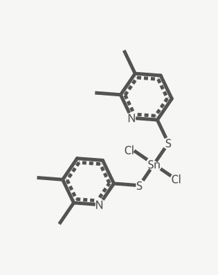 Cc1ccc([S][Sn]([Cl])([Cl])[S]c2ccc(C)c(C)n2)nc1C